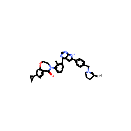 Cc1c(-c2ncnc3[nH]c(-c4ccc(CN5CCCC(C#N)C5)cc4)cc23)cccc1N1CCOc2cc(C3CC3)ccc2C1=O